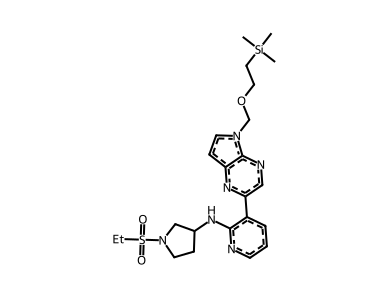 CCS(=O)(=O)N1CCC(Nc2ncccc2-c2cnc3c(ccn3COCC[Si](C)(C)C)n2)C1